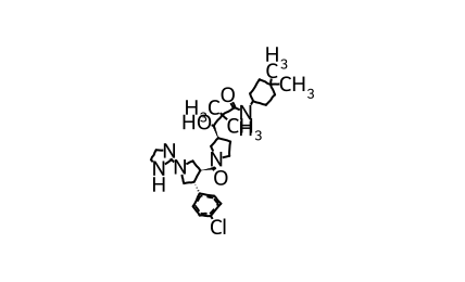 CC1(C)CCC(NC(=O)C(C)(C)C(O)[C@H]2CCN(C(=O)[C@@H]3CN(C4=NCCN4)C[C@H]3c3ccc(Cl)cc3)C2)CC1